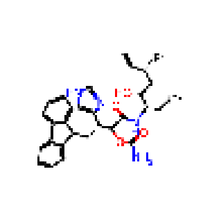 C=C[C@@H](C[C@@H](O)[C@H](CC(C)C)NC(=O)C(OC(N)=O)[C@H](CC1c2ccccc2-c2ccccc21)c1c[nH]cn1)C(C)C